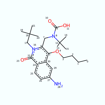 CCCCOc1c(CN(C(=O)O)C(C)(C)C)n(CC(C)(C)C)c(=O)c2ccc(N)cc12